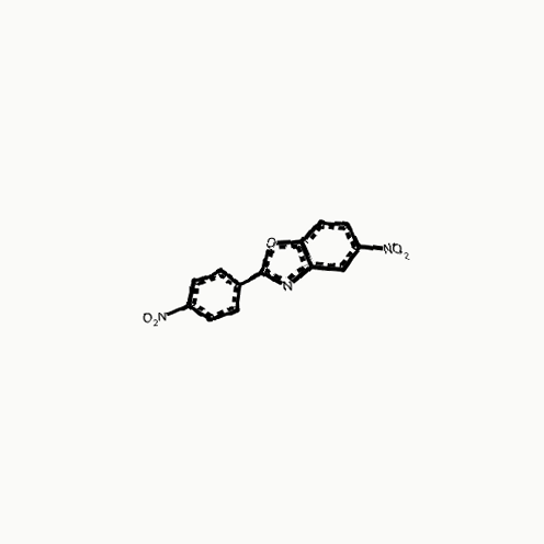 O=[N+]([O-])c1ccc(-c2nc3cc([N+](=O)[O-])ccc3o2)cc1